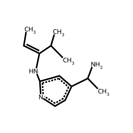 C/C=C(/Nc1cc(C(C)N)ccn1)C(C)C